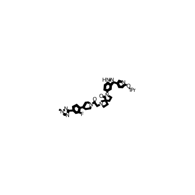 CC(C)Oc1ccc(-c2n[nH]c3ccc(N4CCC5(CCN(CC(=O)N6CC=C(c7ccc(-c8ncn(C)n8)cc7F)CC6)C5)C4=O)cc23)cn1